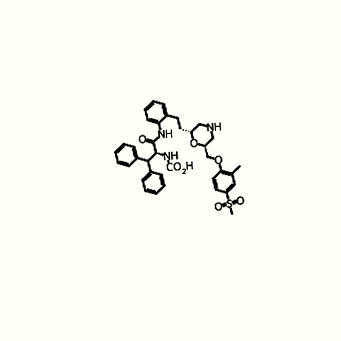 Cc1cc(S(C)(=O)=O)ccc1OC[C@@H]1CNC[C@@H](CCc2ccccc2NC(=O)[C@@H](NC(=O)O)C(c2ccccc2)c2ccccc2)O1